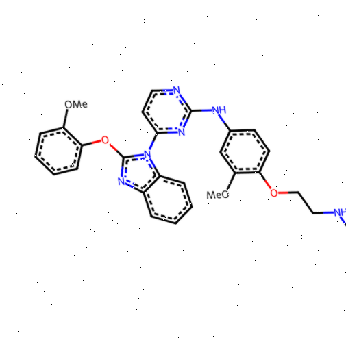 COc1cc(Nc2nccc(-n3c(Oc4ccccc4OC)nc4ccccc43)n2)ccc1OCCNC(C)C